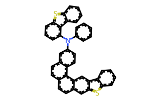 c1ccc(N(c2ccc3c(ccc4ccc5cc6sc7ccccc7c6cc5c43)c2)c2cccc3sc4ccccc4c23)cc1